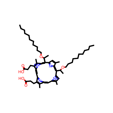 CCCCCCCCCCCOC(C)c1c2nc(c(C(C)OCCCCCCCCCCC)c3[nH]c(cc4nc(cc5[nH]c1cc5C)C(C)=C4CCC(=O)O)c(CCC(=O)O)c3C)C=C2C